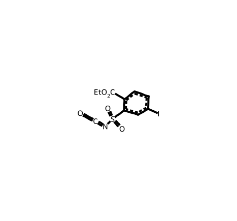 CCOC(=O)c1ccc(I)cc1S(=O)(=O)N=C=O